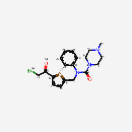 CN1CCN(C(=O)N(Cc2ccc(C(=O)CBr)s2)c2ccccc2)CC1